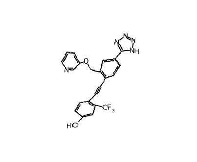 Oc1ccc(C#Cc2ccc(-c3nnn[nH]3)cc2COc2cccnc2)c(C(F)(F)F)c1